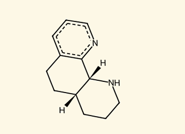 c1cnc2c(c1)CC[C@H]1CCCN[C@@H]21